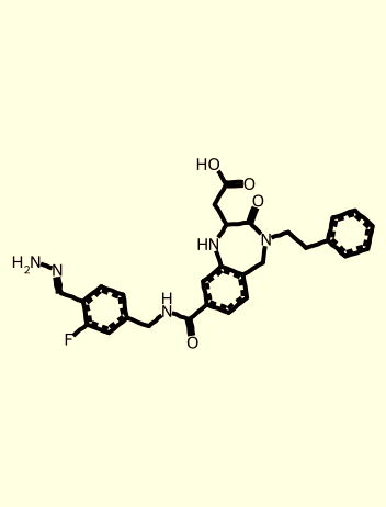 NN=Cc1ccc(CNC(=O)c2ccc3c(c2)NC(CC(=O)O)C(=O)N(CCc2ccccc2)C3)cc1F